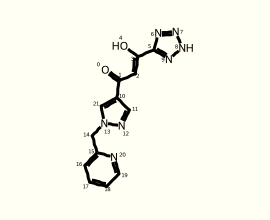 O=C(C=C(O)c1nn[nH]n1)c1cnn(Cc2ccccn2)c1